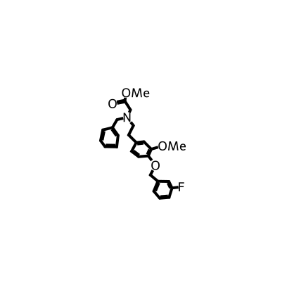 COC(=O)CN(CCc1ccc(OCc2cccc(F)c2)c(OC)c1)Cc1ccccc1